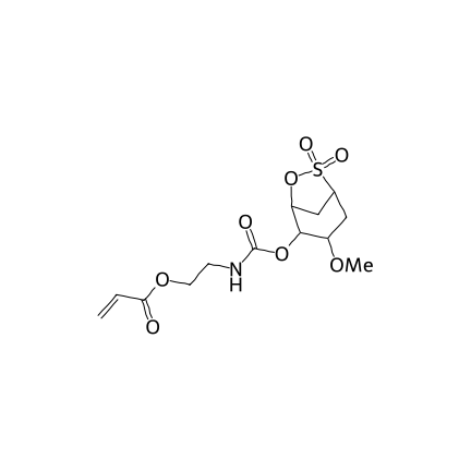 C=CC(=O)OCCNC(=O)OC1C(OC)CC2CC1OS2(=O)=O